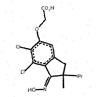 CC(C)C1(C)Cc2cc(OCC(=O)O)c(Cl)c(Cl)c2/C1=N\O